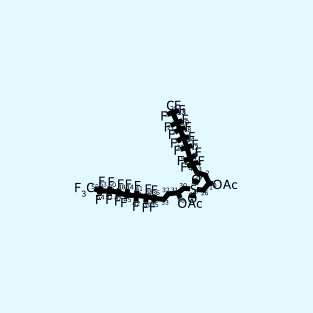 CC(=O)OC(CCC(F)(F)C(F)(F)C(F)(F)C(F)(F)C(F)(F)C(F)(F)C(F)(F)C(F)(F)F)CS(=O)(=O)CC(CCC(F)(F)C(F)(F)C(F)(F)C(F)(F)C(F)(F)C(F)(F)C(F)(F)C(F)(F)F)OC(C)=O